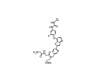 COCCN(Cc1ccc(-c2cc3nccc(Oc4ccc(NC(=O)NC5CC5)cc4F)c3s2)nc1)C(=O)CNC(=O)CN